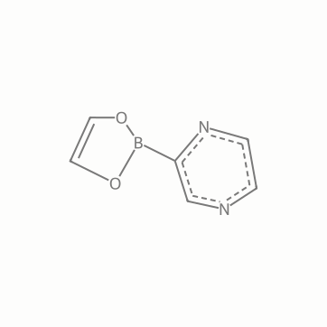 C1=COB(c2cnccn2)O1